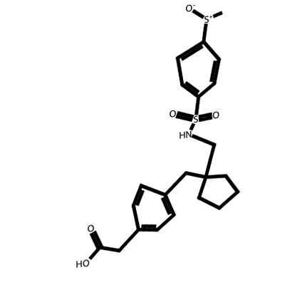 C[S+]([O-])c1ccc(S(=O)(=O)NCC2(Cc3ccc(CC(=O)O)cc3)CCCC2)cc1